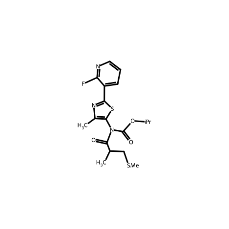 CSCC(C)C(=O)N(C(=O)OC(C)C)c1sc(-c2cccnc2F)nc1C